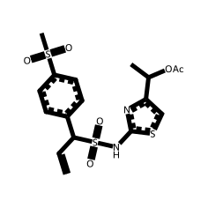 C=CC(c1ccc(S(C)(=O)=O)cc1)S(=O)(=O)Nc1nc(C(C)OC(C)=O)cs1